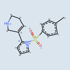 Cc1ccc(S(=O)(=O)n2cccc2C2=CCCNC2)cc1